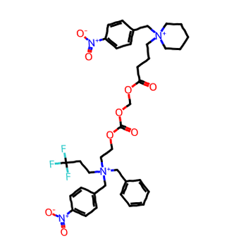 O=C(CCC[N+]1(Cc2ccc([N+](=O)[O-])cc2)CCCCC1)OCOC(=O)OCC[N+](CCC(F)(F)F)(Cc1ccccc1)Cc1ccc([N+](=O)[O-])cc1